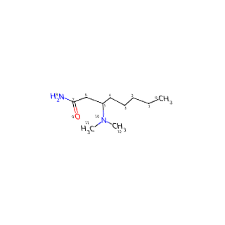 CCCCCC(CC(N)=O)N(C)C